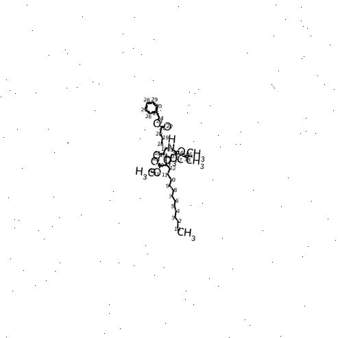 CCCCCCCCCCCCCC(OC(=O)[C@H](CCCC(=O)OCc1ccccc1)NC(=O)OC(C)(C)C)C(=O)OC